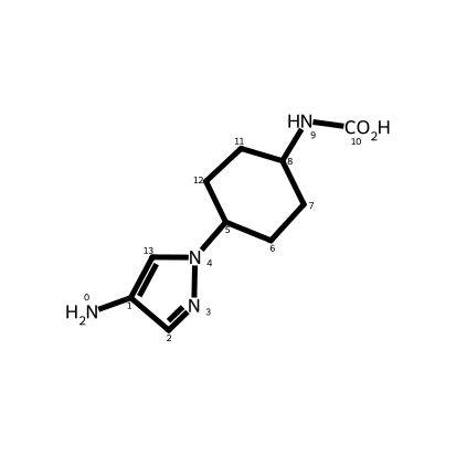 Nc1cnn(C2CCC(NC(=O)O)CC2)c1